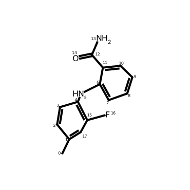 Cc1ccc(Nc2ccccc2C(N)=O)c(F)c1